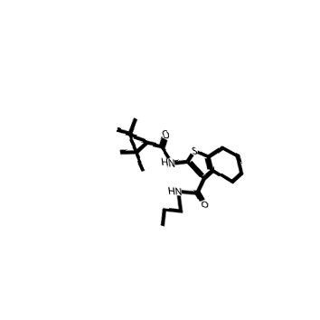 CCCNC(=O)c1c(NC(=O)C2C(C)(C)C2(C)C)sc2c1CCCC2